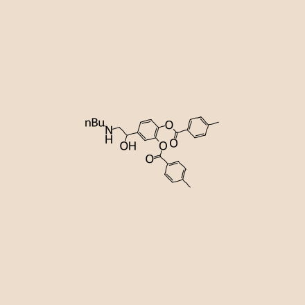 CCCCNCC(O)c1ccc(OC(=O)c2ccc(C)cc2)c(OC(=O)c2ccc(C)cc2)c1